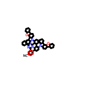 N#Cc1ccc(-c2ccc(-n3c4ccccc4c4c5oc6ccccc6c5ccc43)c(-c3cccc(-n4c5ccccc5c5c6oc7ccccc7c6ccc54)c3-c3nc(-c4ccccc4)nc(-c4ccccc4)n3)c2)cc1